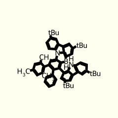 Cc1cc(C)c(-c2cc3c(c(-c4cc(C(C)(C)C)cc5c4[nH]c4ccc(C(C)(C)C)cc45)c2-c2ccccc2)Bc2cc(C(C)(C)C)cc4c5cc(C(C)(C)C)ccc5n-3c24)c(C)c1